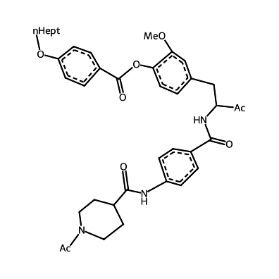 CCCCCCCOc1ccc(C(=O)Oc2ccc(CC(NC(=O)c3ccc(NC(=O)C4CCN(C(C)=O)CC4)cc3)C(C)=O)cc2OC)cc1